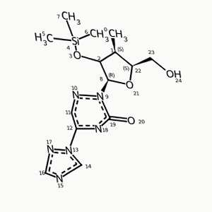 C[C@@H]1C(O[Si](C)(C)C)[C@H](n2ncc(-n3cncn3)nc2=O)O[C@@H]1CO